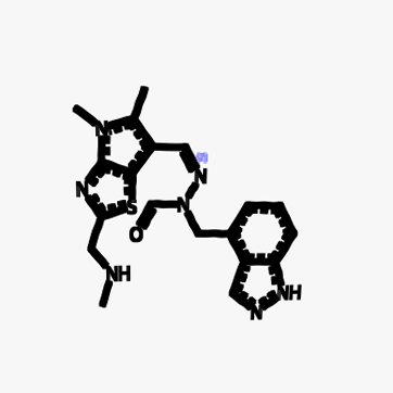 CNCc1nc2c(s1)c(/C=N\N(C=O)Cc1cccc3[nH]ncc13)c(C)n2C